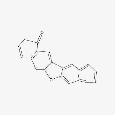 O=C1CC=Cc2cc3oc4cc5ccccc5cc4c3cc21